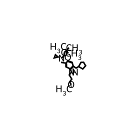 COCCCn1nc(C2CCCC2)c2ccc(CN(C(=O)OC(C)(C)C)C3CC3)cc21